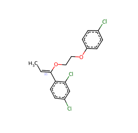 C/C=C(\OCCOc1ccc(Cl)cc1)c1ccc(Cl)cc1Cl